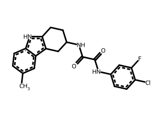 Cc1ccc2[nH]c3c(c2c1)CC(NC(=O)C(=O)Nc1ccc(Cl)c(F)c1)CC3